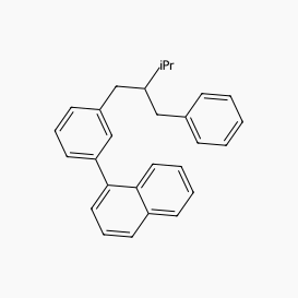 CC(C)C(Cc1ccccc1)Cc1cccc(-c2cccc3ccccc23)c1